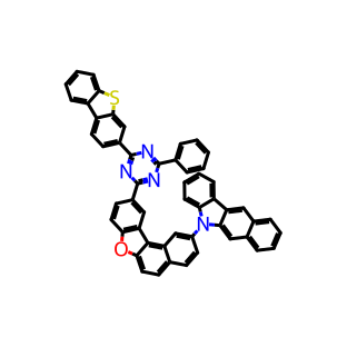 c1ccc(-c2nc(-c3ccc4c(c3)sc3ccccc34)nc(-c3ccc4oc5ccc6ccc(-n7c8ccccc8c8cc9ccccc9cc87)cc6c5c4c3)n2)cc1